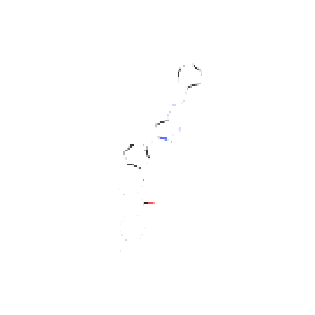 CC1CCN(C(=O)N2CCOc3ccc(-c4cc(NCc5ccccc5)[nH]n4)cc3C2)CC1